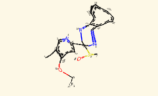 Cc1cnc(C2([S+](C)[O-])N=c3ccccc3=N2)cc1OCC(F)(F)F